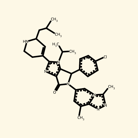 Cc1cc(N2C(=O)c3nc(C4=CC(CC(C)C)NCC4)n(C(C)C)c3C2c2ccc(Cl)cc2)cn2c(C)nnc12